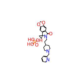 O=C1c2cc3c(cc2C2(CC2)N1CCC1CCN(Cc2ccccn2)CC1)OCO3.O=P(O)(O)O